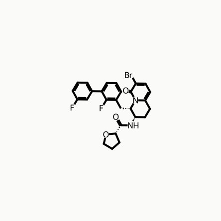 O=C(N[C@H]1CCc2ccc(Br)c(=O)n2[C@H]1Cc1cccc(-c2cccc(F)c2)c1F)[C@@H]1CCCO1